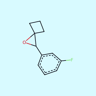 Fc1cccc(C2OC23CCC3)c1